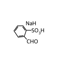 O=Cc1ccccc1S(=O)(=O)O.[NaH]